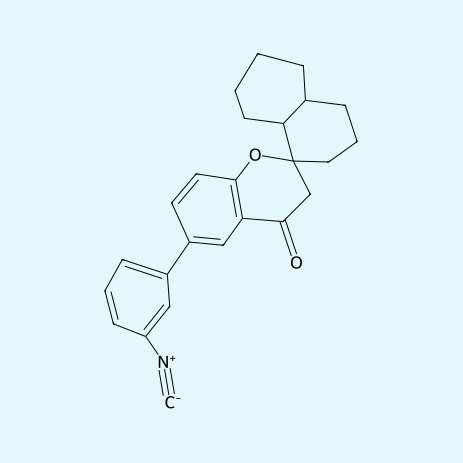 [C-]#[N+]c1cccc(-c2ccc3c(c2)C(=O)CC2(CCCC4CCCCC42)O3)c1